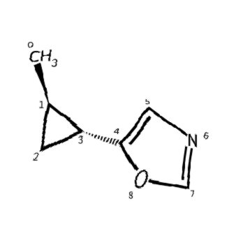 C[C@@H]1C[C@H]1c1cnco1